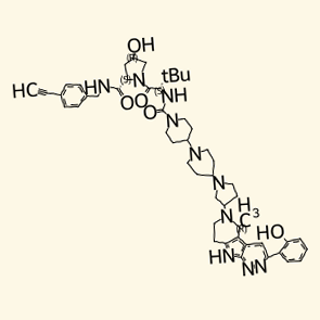 C#Cc1ccc(CNC(=O)[C@@H]2C[C@@H](O)CN2C(=O)[C@@H](NC(=O)N2CCC(N3CCC(N4CCC(N5CCc6[nH]c7nnc(-c8ccccc8O)cc7c6[C@H]5C)C4)CC3)CC2)C(C)(C)C)cc1